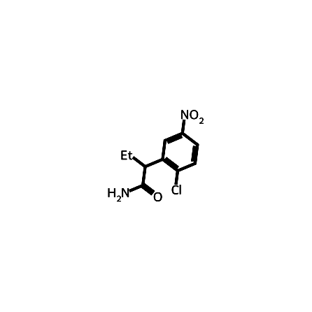 CCC(C(N)=O)c1cc([N+](=O)[O-])ccc1Cl